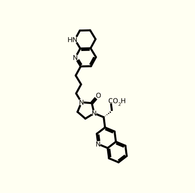 O=C(O)C[C@H](c1cnc2ccccc2c1)N1CCN(CCCc2ccc3c(n2)NCCC3)C1=O